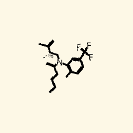 C=C(C)[C@@H](C)CN(C(=C)CCCC)c1cc(C(F)(F)F)ccc1C